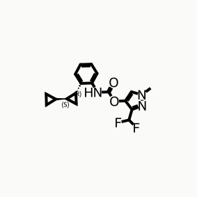 Cn1cc(OC(=O)Nc2ccccc2[C@@H]2C[C@H]2C2CC2)c(C(F)F)n1